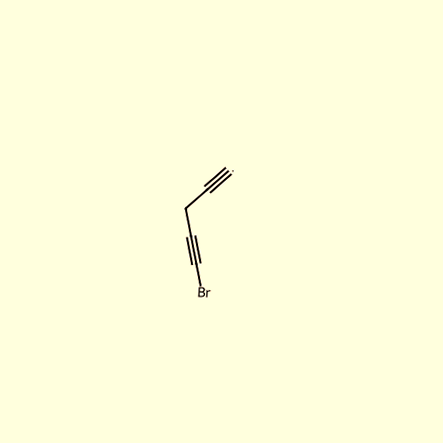 [C]#CCC#CBr